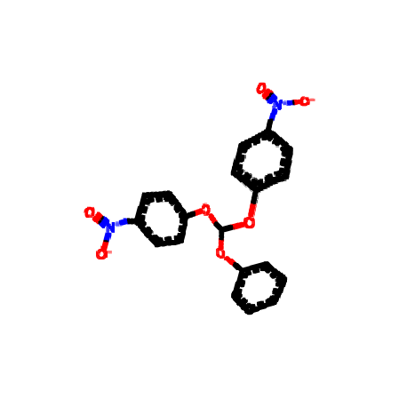 O=[N+]([O-])c1ccc(OC(Oc2ccccc2)Oc2ccc([N+](=O)[O-])cc2)cc1